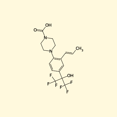 CC=Cc1cc(C(O)(C(F)(F)F)C(F)(F)F)ccc1N1CCN(C(=O)O)CC1